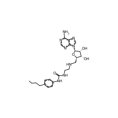 CCCCc1ccc(NC(=O)NCCNC[C@H]2O[C@@H](n3cnc4c(N)ncnc43)[C@H](O)[C@@H]2O)cc1